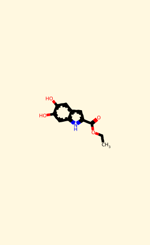 CCOC(=O)c1cc2cc(O)c(O)cc2[nH]1